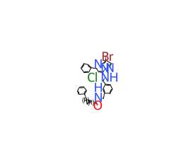 O=C(NCc1cccc(CNc2cc(-c3ccccc3Cl)nc3c(Br)cnn23)c1)[C@@H]1C[C@H]1c1ccccc1